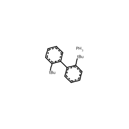 CC(C)(C)c1ccccc1-c1ccccc1C(C)(C)C.P